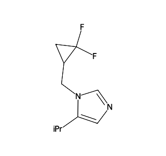 CC(C)c1cncn1CC1CC1(F)F